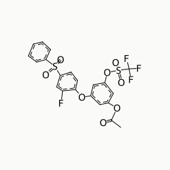 CC(=O)Oc1cc(Oc2ccc(S(=O)(=O)c3ccccc3)cc2F)cc(OS(=O)(=O)C(F)(F)F)c1